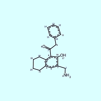 NCc1cc2c(c(C(=O)Cc3ccccc3)c1O)CCCC2